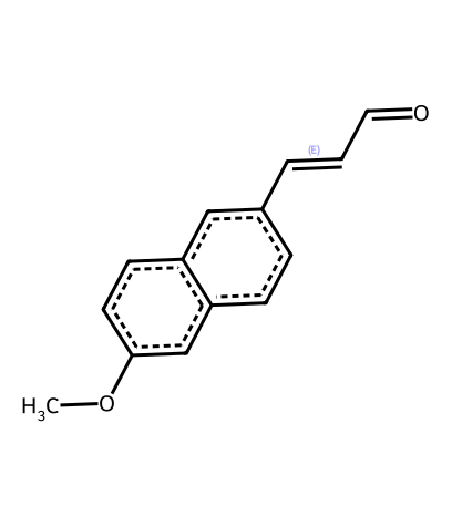 COc1ccc2cc(/C=C/C=O)ccc2c1